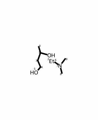 CC(O)CCO.[CH2]CN(C)C